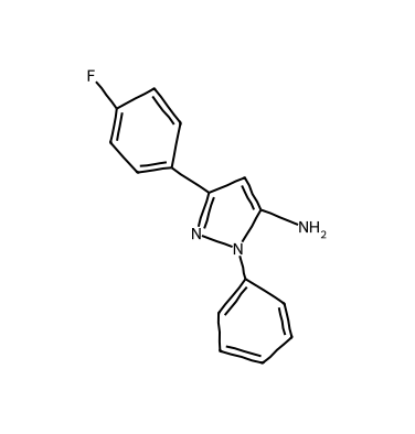 Nc1cc(-c2ccc(F)cc2)nn1-c1ccccc1